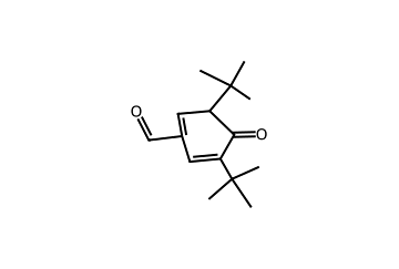 CC(C)(C)C1=CC(C=O)=CC(C(C)(C)C)C1=O